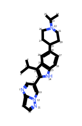 CC(C)c1c(-c2cnc3ccnn3c2)[nH]c2ccc(C3CCN(C(C)C)CC3)cc12